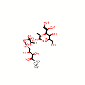 CC(=O)[O-].CCC(=O)[O-].CCC(O)C(O)(O)O.O=CC(O)C(O)C(O)CO.OCC(O)C(O)C(O)C(O)CO.[Na+].[Na+]